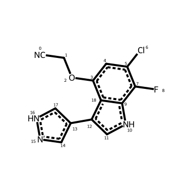 N#CCOc1cc(Cl)c(F)c2[nH]cc(-c3cn[nH]c3)c12